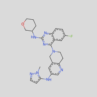 Cn1nccc1Nc1cnc2c(c1)CN(c1nc(NC3CCCOC3)nc3ccc(F)cc13)CC2